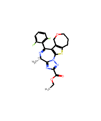 CCOC(=O)c1nc2n(n1)-c1sc3c(c1C(c1c(F)cccc1F)=N[C@H]2C)COCCC3